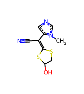 Cn1cncc1/C(C#N)=C1\SCC(O)S1